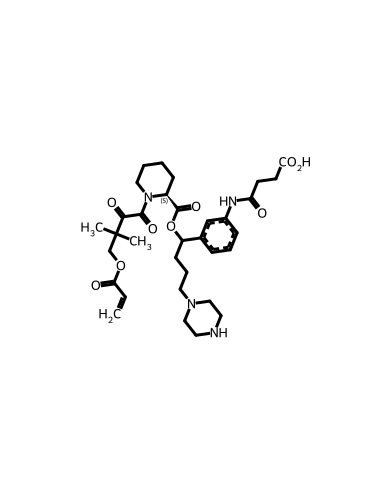 C=CC(=O)OCC(C)(C)C(=O)C(=O)N1CCCC[C@H]1C(=O)OC(CCCN1CCNCC1)c1cccc(NC(=O)CCC(=O)O)c1